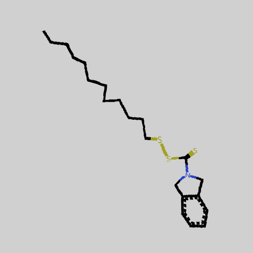 CCCCCCCCCCCCSSC(=S)N1Cc2ccccc2C1